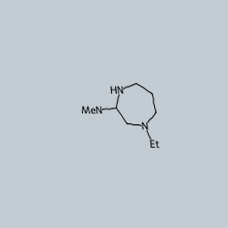 CCN1CCCNC(NC)C1